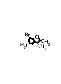 [CH2]C(C(=C)Cl)c1cc(C)cc(Br)c1